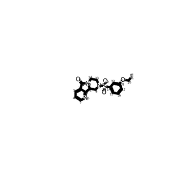 O=C1c2cccnc2C2CN(S(=O)(=O)c3cccc(OCF)c3)CCN12